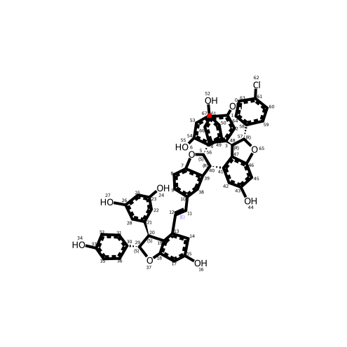 Oc1ccc([C@H]2Oc3ccc(/C=C/c4cc(O)cc5c4[C@H](c4cc(O)cc(O)c4)[C@@H](c4ccc(O)cc4)O5)cc3[C@H]2c2cc(O)cc3c2[C@@H](c2cc(O)cc(O)c2)[C@H](c2ccc(Cl)cc2)O3)cc1